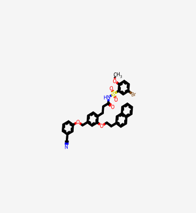 COc1ccc(Br)cc1S(=O)(=O)NC(=O)CCc1ccc(COc2cccc(C#N)c2)cc1OCCc1ccc2ccccc2c1